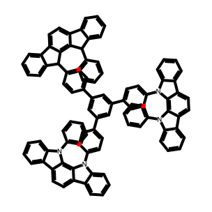 c1ccc(C2c3ccccc3-c3ccc4c(c32)C(c2ccc(-c3cc(-c5ccc(-n6c7ccccc7c7ccc8c9ccccc9n(-c9ccccc9)c8c76)cc5)cc(-c5ccc(-n6c7ccccc7c7ccc8c9ccccc9n(-c9ccccc9)c8c76)cc5)c3)cc2)c2ccccc2-4)cc1